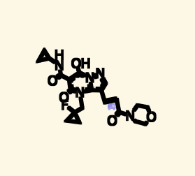 O=C(NC1CC1)c1c(O)n2ncc(/C=C/C(=O)N3CCOCC3)c2n(CC2(F)CC2)c1=O